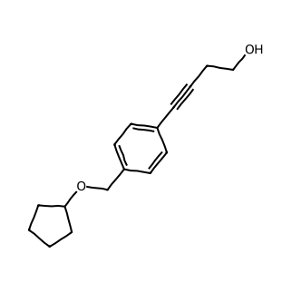 OCCC#Cc1ccc(COC2CCCC2)cc1